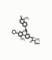 CNC(C)C(=O)Nc1ccc(-c2c(C)nc(N3CCCC3)nc2C)c(C#Cc2ccc3c(ccc(=O)n3C)c2)n1